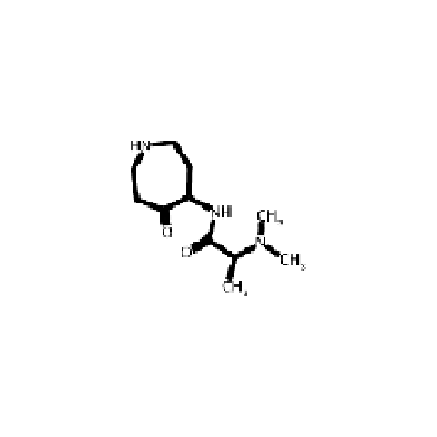 CC(C(=O)NC1CCNCCC1=O)N(C)C